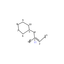 F/C(=C/I)CC1CCCCC1